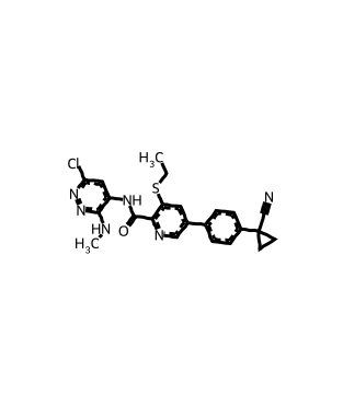 CCSc1cc(-c2ccc(C3(C#N)CC3)cc2)cnc1C(=O)Nc1cc(Cl)nnc1NC